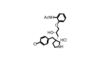 CC(=O)Nc1ccccc1OC[C@@H](O)C[C@@]1(Cc2ccc(Cl)cc2)CCNC1.Cl